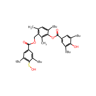 CCCCc1cc(C(=O)Oc2c(C(C)(C)C)cc(C)c(COC(=O)c3cc(C(C)(C)C)c(SO)c(C(C)(C)C)c3)c2C)cc(CCCC)c1O